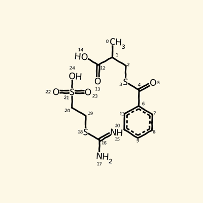 CC(CSC(=O)c1ccccc1)C(=O)O.N=C(N)SCCS(=O)(=O)O